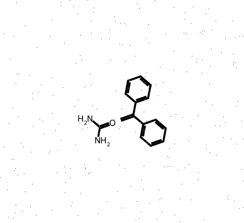 C=C(c1ccccc1)c1ccccc1.NC(N)=O